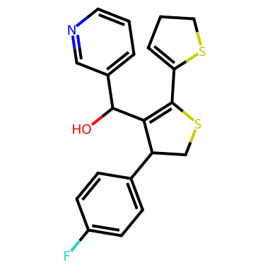 OC(C1=C(C2=CCCS2)SCC1c1ccc(F)cc1)c1cccnc1